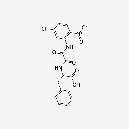 O=C(Nc1cc(Cl)ccc1[N+](=O)[O-])C(=O)NC(Cc1ccccc1)C(=O)O